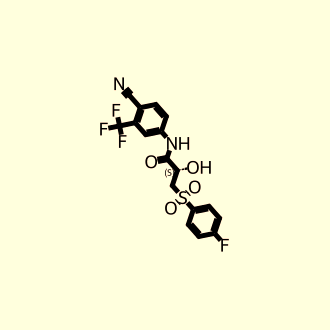 N#Cc1ccc(NC(=O)[C@H](O)CS(=O)(=O)c2ccc(F)cc2)cc1C(F)(F)F